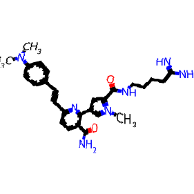 CN(C)c1ccc(C=Cc2ccc(C(N)=O)c(-c3cc(C(=O)NCCCCC(=N)N)n(C)c3)n2)cc1